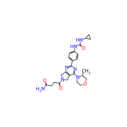 C[C@H]1COCCN1c1nc(-c2ccc(NC(=O)NC3CC3)cc2)nc2c1CN(C(=O)CCC(N)=O)C2